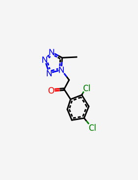 Cc1nnnn1CC(=O)c1ccc(Cl)cc1Cl